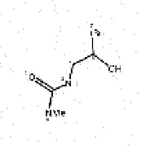 CNC(=O)NCC(O)C(C)(C)C